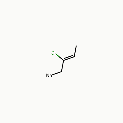 CC=C(Cl)[CH2][Na]